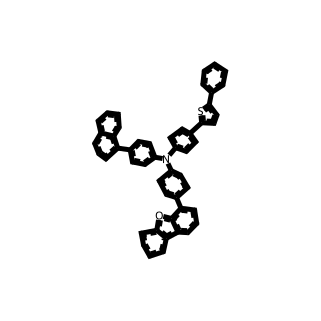 c1ccc(-c2ccc(-c3ccc(N(c4ccc(-c5cccc6ccccc56)cc4)c4ccc(-c5cccc6c5oc5ccccc56)cc4)cc3)s2)cc1